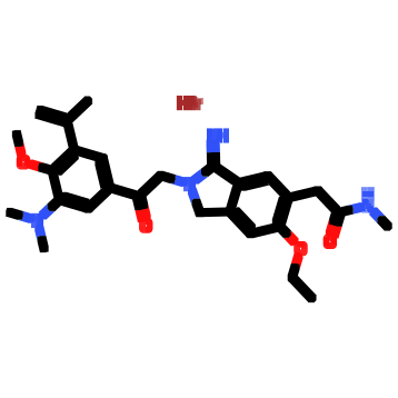 Br.C=C(C)c1cc(C(=O)CN2Cc3cc(OCC)c(CC(=O)NC)cc3C2=N)cc(N(C)C)c1OC